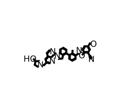 Cc1c(-c2nc3cc(C=O)cc(C#N)c3o2)cccc1-c1cccc2c1CCN2c1nccc2cc(CN3CCC(O)C3)cnc12